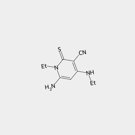 CCNc1cc(N)n(CC)c(=S)c1C#N